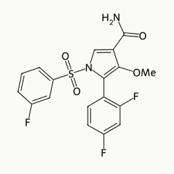 COc1c(C(N)=O)cn(S(=O)(=O)c2cccc(F)c2)c1-c1ccc(F)cc1F